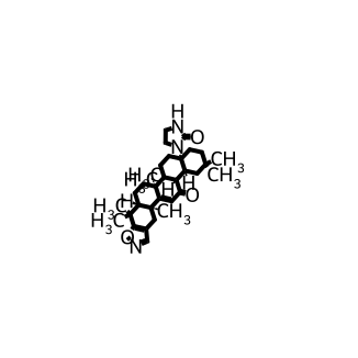 CC1(C)CC[C@]2(N3CCNC3=O)CC[C@]3(C)[C@H](C(=O)C=C4[C@@]5(C)Cc6cnoc6C(C)(C)[C@@H]5CC[C@]43C)[C@@H]2C1